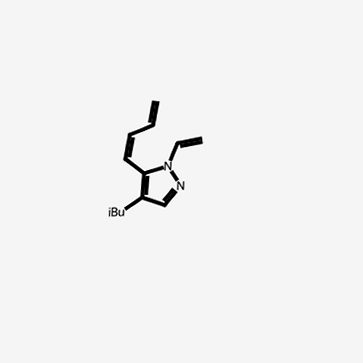 C=C/C=C\c1c(C(C)CC)cnn1C=C